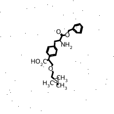 C[Si](C)(C)CCOCC(C(=O)O)c1ccc(C[C@H](N)C(=O)OCc2ccccc2)cc1